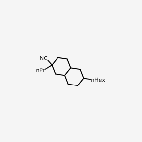 CCCCCCC1CCC2CC(C#N)(CCC)CCC2C1